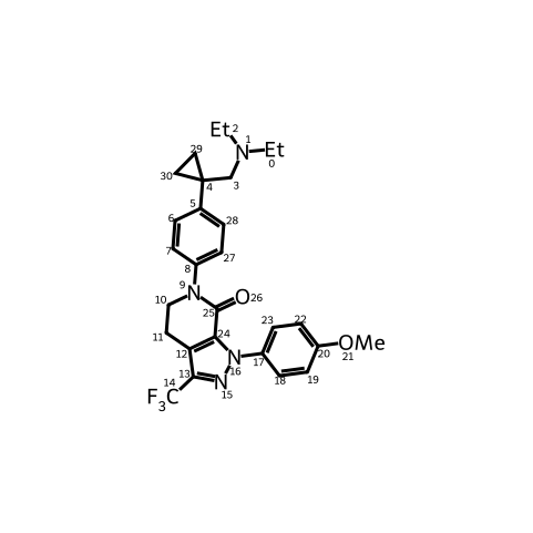 CCN(CC)CC1(c2ccc(N3CCc4c(C(F)(F)F)nn(-c5ccc(OC)cc5)c4C3=O)cc2)CC1